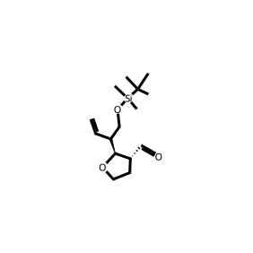 C=CC(CO[Si](C)(C)C(C)(C)C)[C@@H]1OCC[C@H]1C=O